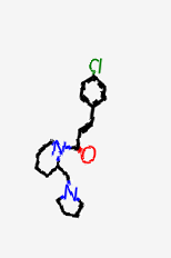 O=C(C=Cc1ccc(Cl)cc1)N1CCCCC1CN1CCCC1